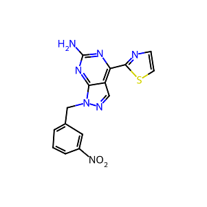 Nc1nc(-c2nccs2)c2cnn(Cc3cccc([N+](=O)[O-])c3)c2n1